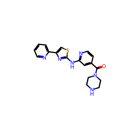 O=C(c1ccnc(Nc2nc(-c3ccccn3)cs2)c1)N1CCNCC1